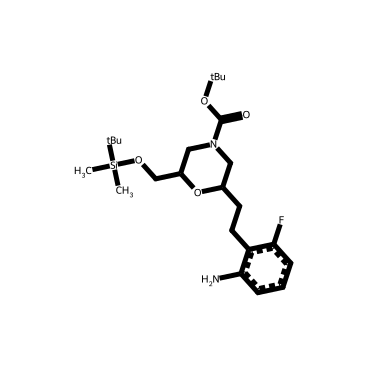 CC(C)(C)OC(=O)N1CC(CCc2c(N)cccc2F)OC(CO[Si](C)(C)C(C)(C)C)C1